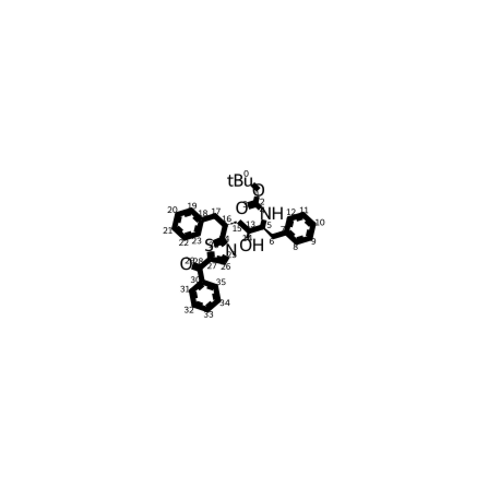 CC(C)(C)OC(=O)N[C@@H](Cc1ccccc1)[C@@H](O)C[C@@H](Cc1ccccc1)c1ncc(C(=O)c2ccccc2)s1